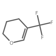 FC(F)(F)C1=COCCC1